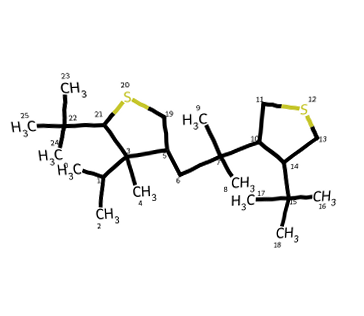 CC(C)C1(C)C(CC(C)(C)C2CSCC2C(C)(C)C)CSC1C(C)(C)C